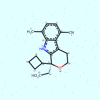 Cc1ccc(C#N)c2c3c([nH]c12)[C@](CC(=O)O)(C1CCC1)OCC3